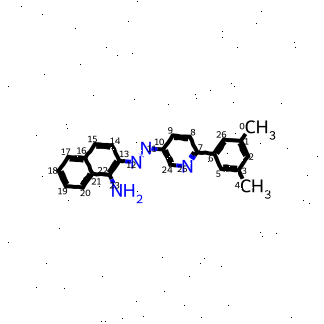 Cc1cc(C)cc(-c2ccc(N=Nc3ccc4ccccc4c3N)cn2)c1